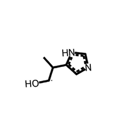 CC([CH]O)c1cnc[nH]1